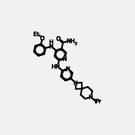 CCOc1ccccc1Nc1cc(Nc2ccc(N3CC4(CCN(C(C)C)CC4)C3)cn2)ncc1C(N)=O